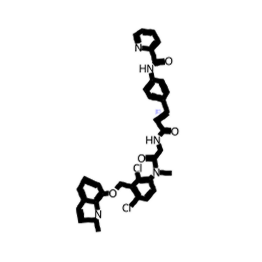 Cc1ccc2cccc(OCc3c(Cl)ccc(N(C)C(=O)CNC(=O)/C=C/c4ccc(NC(=O)c5ccccn5)cc4)c3Cl)c2n1